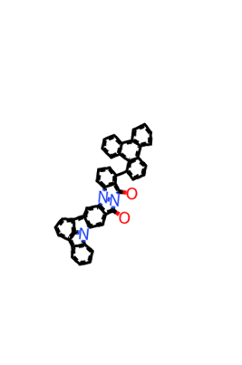 O=c1c2cc3c(cc2n2c4cccc(-c5cccc6c7ccccc7c7ccccc7c56)c4c(=O)n12)c1cccc2c4ccccc4n3c21